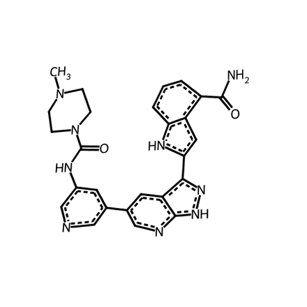 CN1CCN(C(=O)Nc2cncc(-c3cnc4[nH]nc(-c5cc6c(C(N)=O)cccc6[nH]5)c4c3)c2)CC1